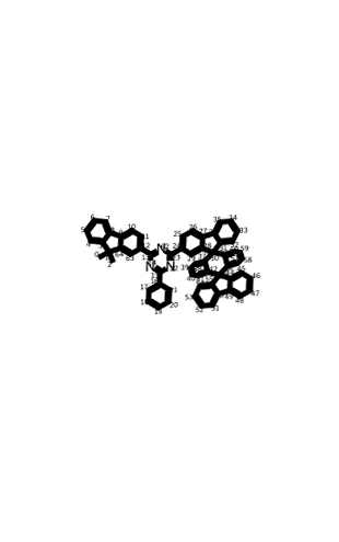 CC1(C)c2ccccc2-c2ccc(-c3nc(-c4ccccc4)nc(-c4ccc5c(c4)C4(c6ccccc6-5)c5ccccc5C5(c6ccccc6-c6ccccc65)c5ccccc54)n3)cc21